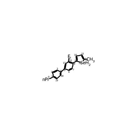 CCCc1ccc(-c2ccc(C3=CC=C(C)[SeH2]3)c(F)c2)cc1